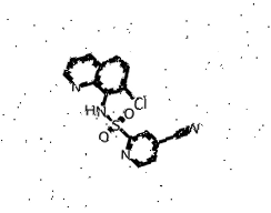 N#Cc1ccnc(S(=O)(=O)Nc2c(Cl)ccc3cccnc23)c1